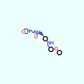 O=C(NCCN1CCOCC1)[C@@H]1C[C@H]1c1ccc(NCc2cccc(Oc3ccccc3)c2)cc1